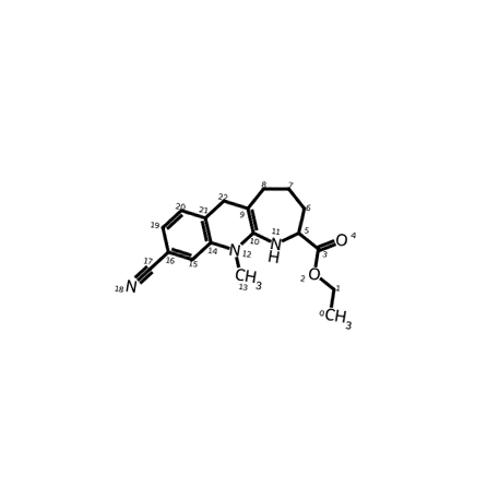 CCOC(=O)C1CCCC2=C(N1)N(C)c1cc(C#N)ccc1C2